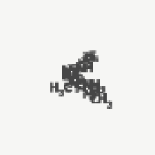 Cc1c(C[C@@H](N)C[S+](C)[O-])sc2c(NCc3cccs3)cnnc12